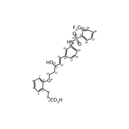 O=C(O)CCc1ccccc1OCC[C@@H](O)/C=C/c1cccc(NS(=O)(=O)c2ccccc2C(F)(F)F)c1